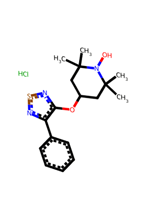 CC1(C)CC(Oc2nsnc2-c2ccccc2)CC(C)(C)N1O.Cl